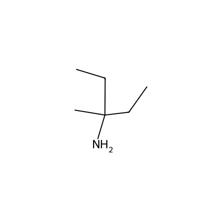 CCC(C)(N)CC